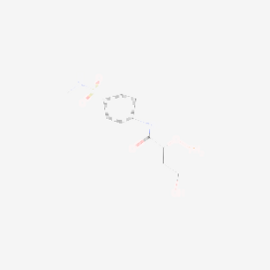 CNS(=O)(=O)c1ccc(NC(=O)C(CCO)OP)cc1